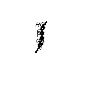 C=CCCOc1ccc(C(=O)Oc2ccc(-c3ccc(C4CCC(C(O)CCC)CC4)c(F)c3F)cc2)c(F)c1